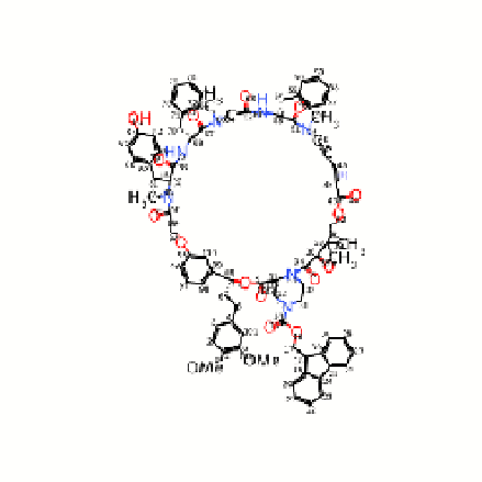 COc1ccc(CC[C@H]2OC(=O)[C@@H]3CN(C(=O)OCC4c5ccccc5-c5ccccc54)CCN3C(=O)C(=O)C(C)(C)COC(=O)/C=C/CCN(C)C(=O)[C@@H](Cc3ccccc3)NC(=O)CN(C)C(=O)[C@@H](Cc3ccccc3)NC(=O)[C@H](Cc3ccc(O)cc3)N(C)C(=O)COc3cccc2c3)cc1OC